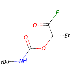 CCC(OC(=O)NC(C)(C)C)C(=O)F